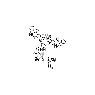 COc1cc2c(cc1OCc1cc(COc3cc4c(cc3OC)C(=O)N3c5ccccc5C[C@H]3C=N4)cc(NC(=O)C(C)NC(=O)C(NC(=O)CCC(C)(C)S)C(C)C)c1)N=CC1Cc3ccccc3N1C2=O